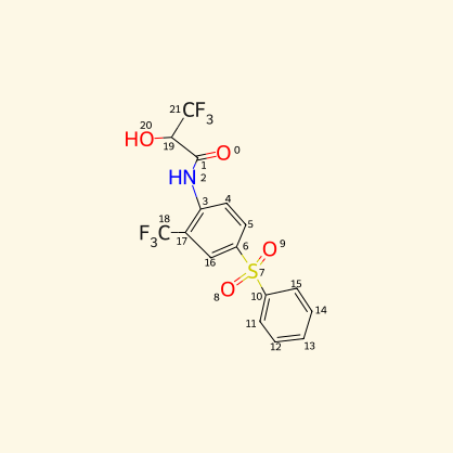 O=C(Nc1ccc(S(=O)(=O)c2ccccc2)cc1C(F)(F)F)C(O)C(F)(F)F